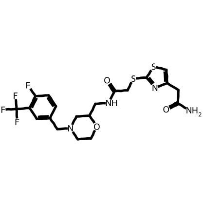 NC(=O)Cc1csc(SCC(=O)NCC2CN(Cc3ccc(F)c(C(F)(F)F)c3)CCO2)n1